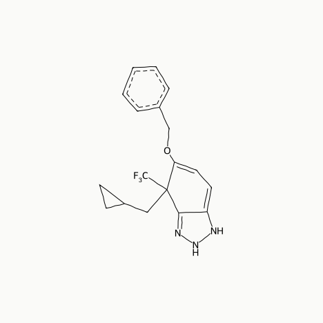 FC(F)(F)C1(CC2CC2)C(OCc2ccccc2)=CC=C2NNN=C21